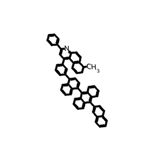 CC1CC=Cc2c1ccc1nc(-c3ccccc3)cc(-c3cccc(-c4ccc(-c5c6ccccc6c(-c6ccc7ccccc7c6)c6ccccc56)c5ccccc45)c3)c21